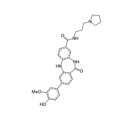 COc1cc(-c2ccc3c(c2)Nc2ccc(C(=O)NCCCN4CCCC4)cc2NC3=O)ccc1O